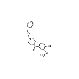 COc1cc(C(=O)N2CCN(C/C=C/c3ccccc3)CC2)ccc1O